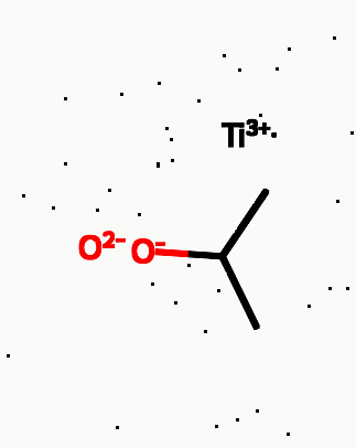 CC(C)[O-].[O-2].[Ti+3]